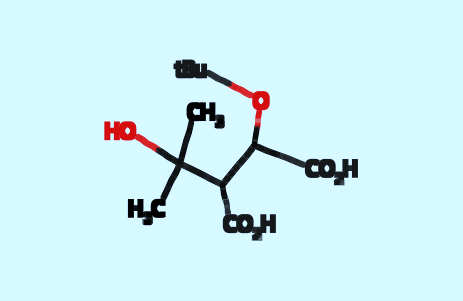 CC(C)(C)OC(C(=O)O)C(C(=O)O)C(C)(C)O